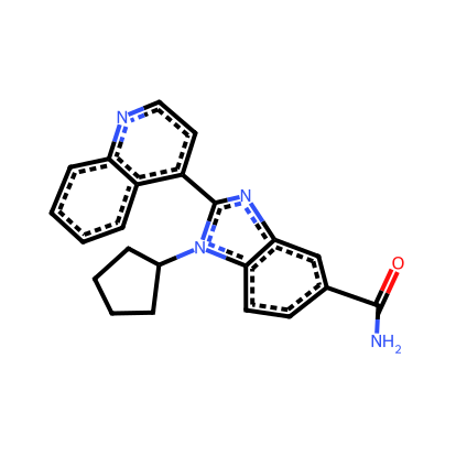 NC(=O)c1ccc2c(c1)nc(-c1ccnc3ccccc13)n2C1CCCC1